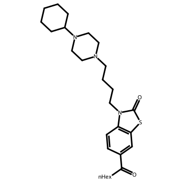 CCCCCCC(=O)c1ccc2c(c1)sc(=O)n2CCCCN1CCN(C2CCCCC2)CC1